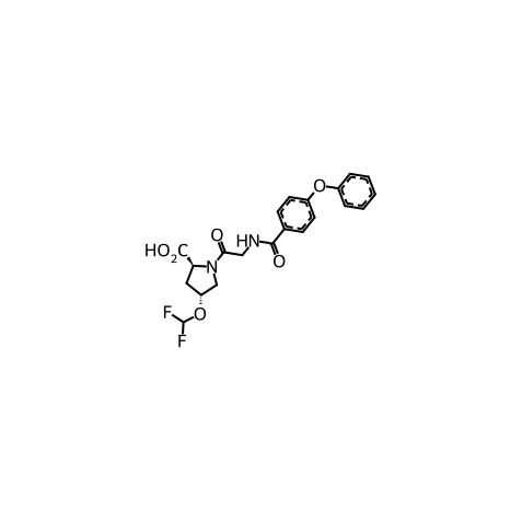 O=C(NCC(=O)N1C[C@H](OC(F)F)C[C@H]1C(=O)O)c1ccc(Oc2ccccc2)cc1